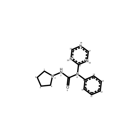 O=C(NN1CCCC1)N(c1ccccc1)c1ncncn1